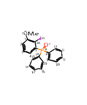 COc1cccc(P(=O)(c2ccccc2)c2ccccc2)c1I